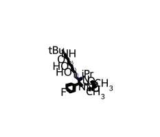 CC(C)c1nc(N(C)S(C)(=O)=O)nc(-c2ccc(F)cc2)c1/C=C/[C@@H](O)C[C@@H](O)CC(=O)NC(C)(C)C